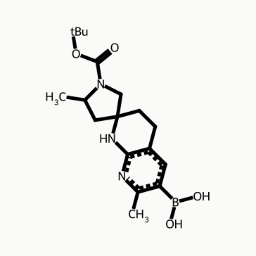 Cc1nc2c(cc1B(O)O)CCC1(CC(C)N(C(=O)OC(C)(C)C)C1)N2